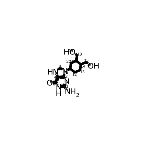 Nc1nc2c(c(=O)[nH]1)NCN2C1CCC(CO)C(CO)C1